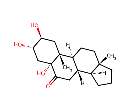 C[C@@]12CCC[C@H]1[C@@H]1CC(=O)[C@@]3(O)C[C@H](O)[C@@H](O)C[C@]3(C)[C@H]1CC2